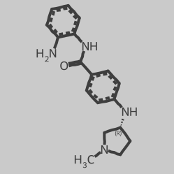 CN1CC[C@@H](Nc2ccc(C(=O)Nc3ccccc3N)cc2)C1